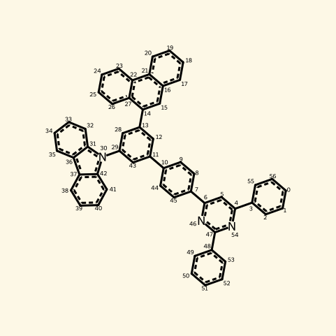 c1ccc(-c2cc(-c3ccc(-c4cc(-c5cc6ccccc6c6ccccc56)cc(-n5c6ccccc6c6ccccc65)c4)cc3)nc(-c3ccccc3)n2)cc1